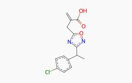 C=C(Cc1nc(C(C)c2ccc(Cl)cc2)no1)C(=O)O